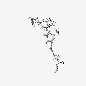 C=CC(=O)N1CC(C#Cc2ccc(-c3cc(-c4cnn(C)c4)cc4ncc(C#N)n34)cc2)C1